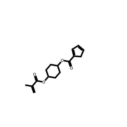 C=C(C)C(=O)OC1CCC(OC(=O)C2=CC=CC2)CC1